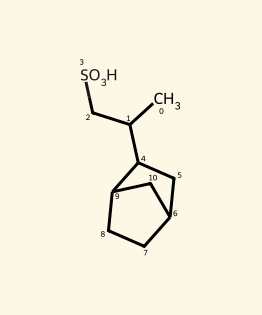 CC(CS(=O)(=O)O)C1CC2CCC1C2